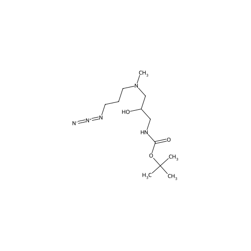 CN(CCCN=[N+]=[N-])CC(O)CNC(=O)OC(C)(C)C